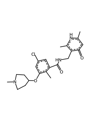 Cc1cc(=O)c(CNC(=O)c2cc(Cl)cc(OC3CCN(C)CC3)c2C)c(C)[nH]1